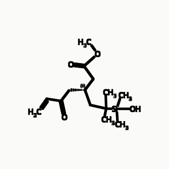 C=CC(=O)C[C@H](CC(=O)OC)CC(C)(C)[Si](C)(C)O